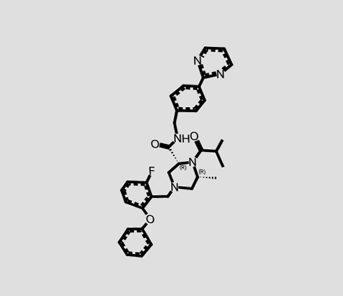 CC(C)C(=O)N1[C@H](C)CN(Cc2c(F)cccc2Oc2ccccc2)C[C@@H]1C(=O)NCc1ccc(-c2ncccn2)cc1